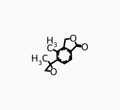 Cc1c(C2(C)CO2)ccc2c1COC2=O